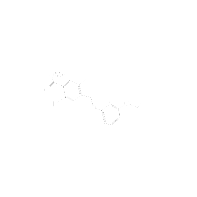 COC(=O)c1cc(Cl)c(COc2cccc(OCC(F)(F)F)n2)cc1F